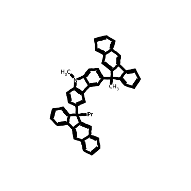 CC(C)C1(c2ccc3c(c2)c2cc(C4(C)c5ccccc5-c5cc6ccccc6cc54)ccc2n3C)c2ccccc2-c2cc3ccccc3cc21